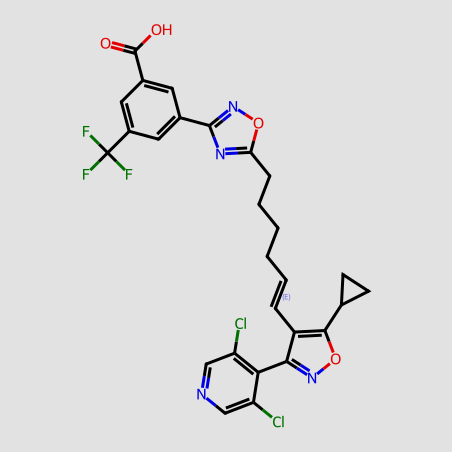 O=C(O)c1cc(-c2noc(CCCC/C=C/c3c(-c4c(Cl)cncc4Cl)noc3C3CC3)n2)cc(C(F)(F)F)c1